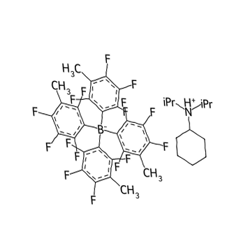 CC(C)[NH+](C(C)C)C1CCCCC1.Cc1c(F)c(F)c(F)c([B-](c2c(F)c(C)c(F)c(F)c2F)(c2c(F)c(C)c(F)c(F)c2F)c2c(F)c(C)c(F)c(F)c2F)c1F